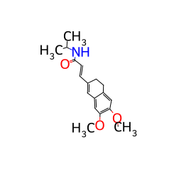 COc1cc2c(cc1OC)CCC(/C=C/C(=O)NC(C)C)=C2